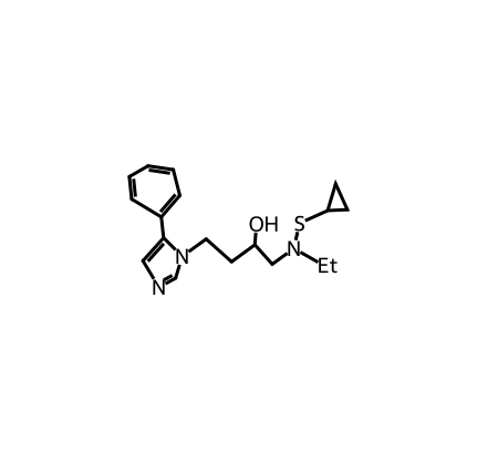 CCN(CC(O)CCn1cncc1-c1ccccc1)SC1CC1